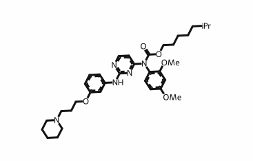 COc1ccc(N(C(=O)OCCCCCC(C)C)c2ccnc(Nc3cccc(OCCCN4CCCCC4)c3)n2)c(OC)c1